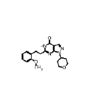 COc1ccccc1CCc1nc2c(cnn2C2CCOCC2)c(=O)[nH]1